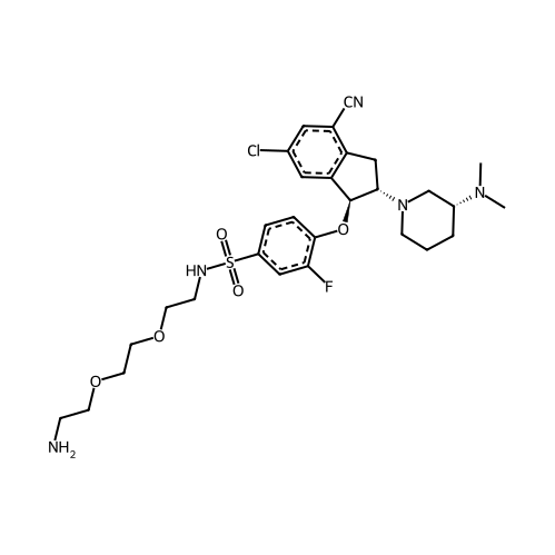 CN(C)[C@@H]1CCCN([C@H]2Cc3c(C#N)cc(Cl)cc3[C@@H]2Oc2ccc(S(=O)(=O)NCCOCCOCCN)cc2F)C1